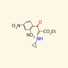 CCOC(=O)C(=CNC1CC1)C(=O)c1ccc([N+](=O)[O-])cc1[N+](=O)[O-]